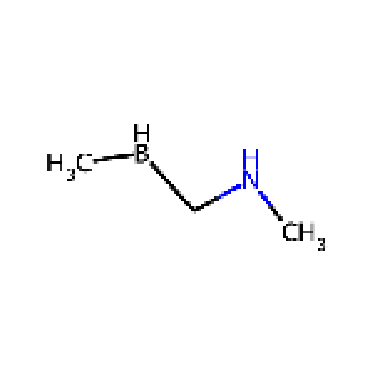 CBCNC